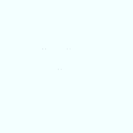 CC1OC(=O)OC1(C)C